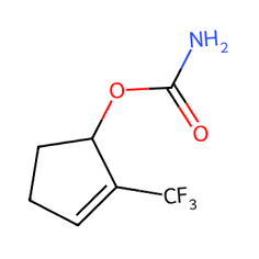 NC(=O)OC1CCC=C1C(F)(F)F